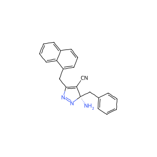 N#CC1=C(Cc2cccc3ccccc23)N=N[C@]1(N)Cc1ccccc1